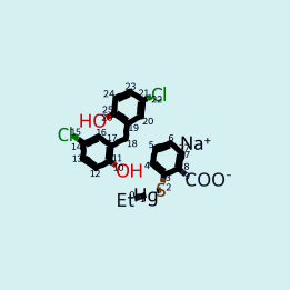 C[CH2][Hg][S]c1ccccc1C(=O)[O-].Oc1ccc(Cl)cc1Cc1cc(Cl)ccc1O.[Na+]